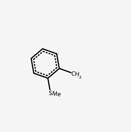 CSc1ccc[c]c1C